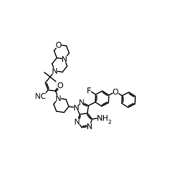 CC(C)(C=C(C#N)C(=O)N1CCCC(n2nc(-c3ccc(Oc4ccccc4)cc3F)c3c(N)ncnc32)C1)N1CCN2CCOCC2C1